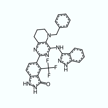 O=c1[nH][nH]c2ccc(-c3nc4c(c(Nc5n[nH]c6ccccc56)n3)N(Cc3ccccc3)CCC4)c(C(F)(F)F)c12